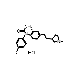 Cl.NC(=O)N(c1ccc(Cl)cc1)c1ccc(CCC2CCNC2)cc1